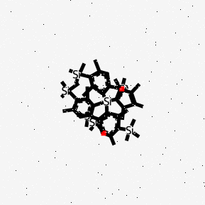 CC1=C(C)C(C)C([Si](c2c([Si](C)(C)C)cc(C)c([Si](C)(C)C)c2C)(c2c([Si](C)(C)C)cc(C)c([Si](C)(C)C)c2C)c2c([Si](C)(C)C)cc(C)c([Si](C)(C)C)c2C)=C1C